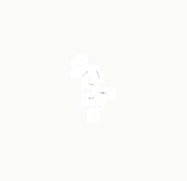 CCOC(=O)C(=O)c1ccc2c(c1)CCO2